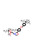 Cc1cc(OCc2ccc(C(C)(C)C)cc2)ccc1C1CN(CCC(=O)OC(C)(C)C)CCO1